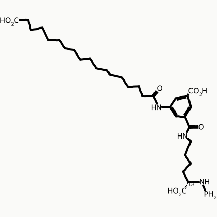 O=C(O)CCCCCCCCCCCCCCCCC(=O)Nc1cc(C(=O)O)cc(C(=O)NCCCC[C@H](NP)C(=O)O)c1